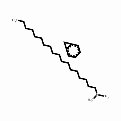 CCCCCCCCCCCCCCCCCCN(C)C.c1ccc2c(c1)C2